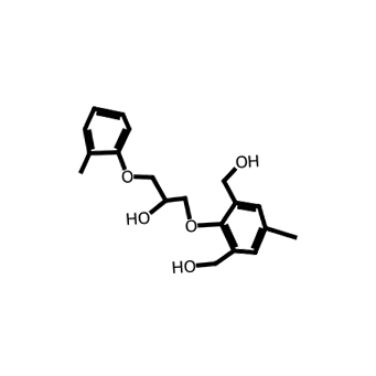 Cc1cc(CO)c(OCC(O)COc2ccccc2C)c(CO)c1